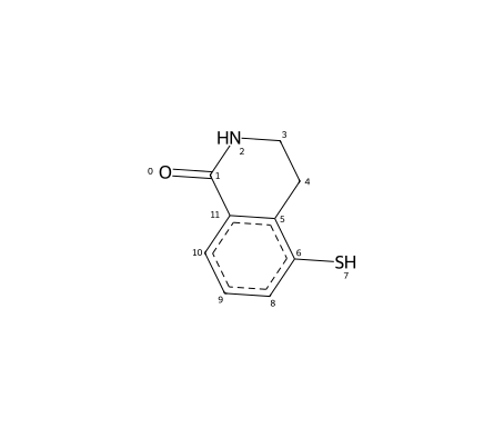 O=C1NCCc2c(S)cccc21